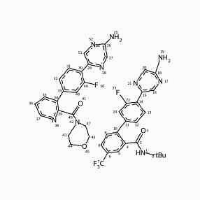 CC(C)(C)NC(=O)c1cc(C(F)(F)F)ccc1-c1ccc(-c2cnc(N)cn2)c(F)c1.Nc1cnc(-c2ccc(-c3cccnc3C(=O)N3CCOCC3)cc2F)cn1